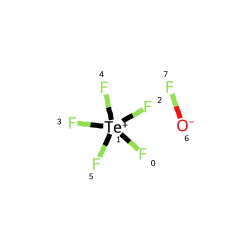 F[Te+](F)(F)(F)F.[O-]F